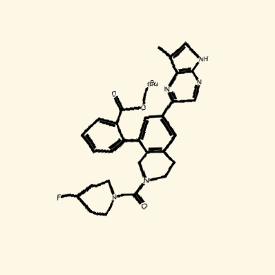 Cc1c[nH]c2ncc(-c3cc4c(c(-c5ccccc5C(=O)OC(C)(C)C)c3)CN(C(=O)N3CCC(F)CC3)CC4)nc12